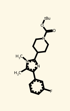 Cc1c(-c2cccc(F)c2)nc(C2CCN(C(=O)OC(C)(C)C)CC2)n1C